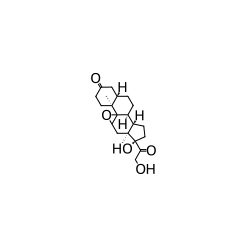 C[C@]12CCC(=O)C[C@@H]1CC[C@H]1[C@@H]3CC[C@](O)(C(=O)CO)[C@@]3(C)CC3OC312